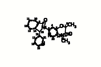 CC1Oc2cc(N3C(=O)c4ccccc4C3c3cccnc3)ncc2N(C)C1=O